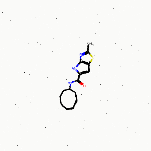 Cc1nc2[nH]c(C(=O)NC3CCCCCCC3)cc2s1